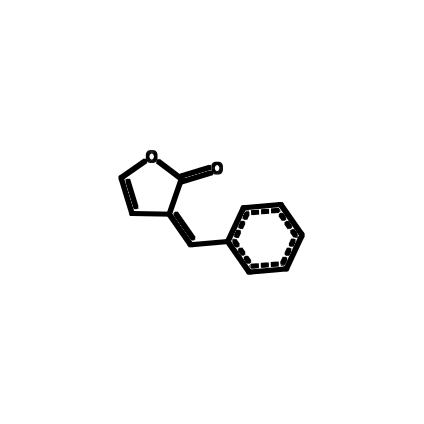 O=C1OC=CC1=Cc1ccccc1